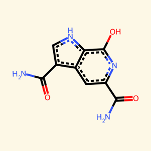 NC(=O)c1cc2c(C(N)=O)c[nH]c2c(O)n1